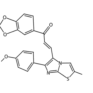 COc1ccc(-c2nc3sc(C)cn3c2C=CC(=O)c2ccc3c(c2)OCO3)cc1